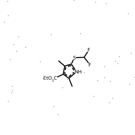 CCOC(=O)c1c(C)[nH]c(SC(F)F)c1C